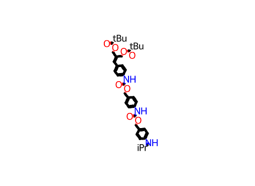 CC(C)Nc1ccc(COC(=O)Nc2ccc(COC(=O)Nc3ccc(C=C(COC(=O)C(C)(C)C)COC(=O)C(C)(C)C)cc3)cc2)cc1